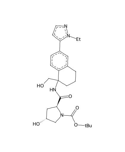 CCn1nccc1-c1ccc2c(c1)CCCC2(CO)NC(=O)[C@@H]1C[C@@H](O)CN1C(=O)OC(C)(C)C